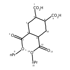 CCCOC(=O)C1CC(C(=O)O)C(C(=O)O)CC1C(=O)OCCC